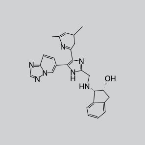 CC1=CC(C)CC(c2nc(CN[C@H]3c4ccccc4C[C@H]3O)[nH]c2-c2ccc3ncnn3c2)=N1